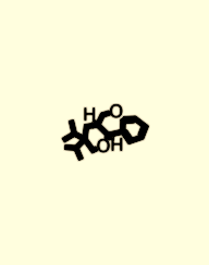 CC(C)C1(C(C)C)CO[C@@H]2c3ccccc3OC[C@@H]2C1